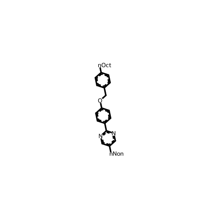 CCCCCCCCCc1cnc(-c2ccc(OCc3ccc(CCCCCCCC)cc3)cc2)nc1